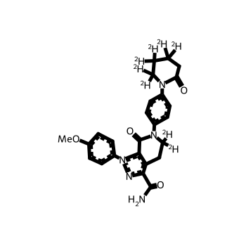 [2H]C1([2H])Cc2c(C(N)=O)nn(-c3ccc(OC)cc3)c2C(=O)N1c1ccc(N2C(=O)CC([2H])([2H])C([2H])([2H])C2([2H])[2H])cc1